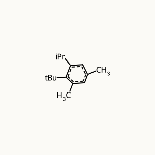 Cc1cc(C)c(C(C)(C)C)c(C(C)C)c1